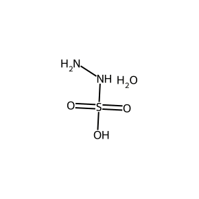 NNS(=O)(=O)O.O